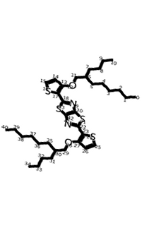 CCCCCCC(CCCC)COc1ccsc1-c1nc2sc(-c3sccc3OCC(CCCC)CCCCCC)nc2s1